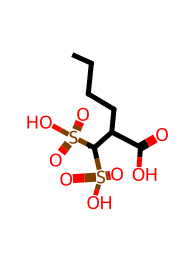 CCCCC([C](S(=O)(=O)O)S(=O)(=O)O)C(=O)O